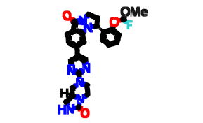 COC(F)Oc1ccccc1[C@H]1CCn2c(=O)c3ccc(-c4cnc(N5CCN6C(=O)NC[C@H]6C5)nc4)cc3n21